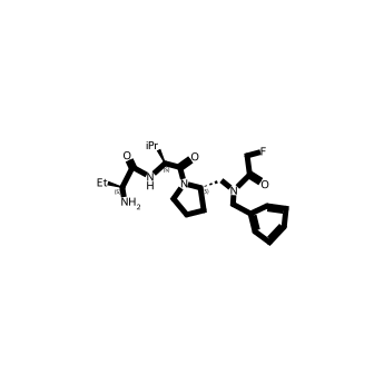 CC[C@H](N)C(=O)N[C@H](C(=O)N1CCC[C@H]1CN(Cc1ccccc1)C(=O)CF)C(C)C